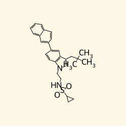 CC(C)(C)Cc1cn(CCNS(=O)(=O)C2CC2)c2ccc(-c3ccc4ccccc4c3)cc12